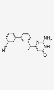 CC(c1cccc(-c2cccc(C#N)c2)c1)c1cc(=O)[nH]c(N)n1